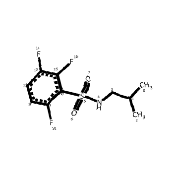 CC(C)CNS(=O)(=O)c1c(F)ccc(F)c1F